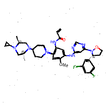 C=CC(=O)Nc1cc(Nc2cc(N3OCC[C@@H]3c3cc(F)cc(F)c3)ncn2)c(OC)cc1N1CCC(N2C[C@H](C)N(C3CC3)C[C@H]2C)CC1